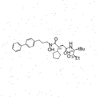 CC[C@@H](O)[C@@H](NC(=O)C[C@H](C(=O)N(O)CCCc1ccc(-c2ccccc2)cc1)C1CCCC1)C(C)(C)C